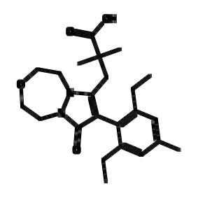 CCc1cc(C)cc(CC)c1-c1c(CC(C)(C)C(=O)O)n2n(c1=O)CCOCC2